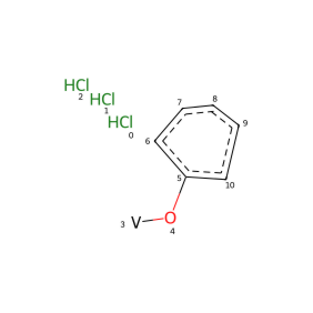 Cl.Cl.Cl.[V][O]c1ccccc1